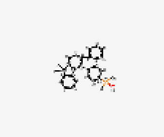 CC1(C)c2ccccc2-c2c1ccc(-c1ccccc1)c2-c1ccc(P(C)(C)=O)cc1